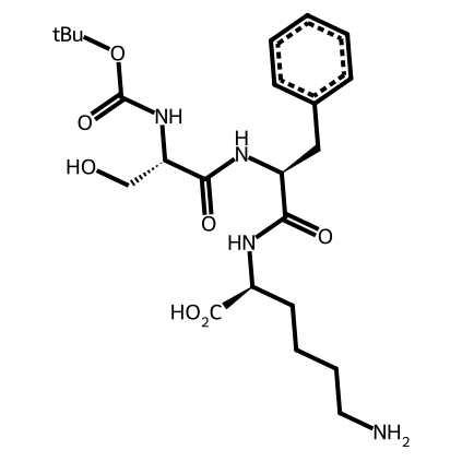 CC(C)(C)OC(=O)N[C@@H](CO)C(=O)N[C@@H](Cc1ccccc1)C(=O)N[C@@H](CCCCN)C(=O)O